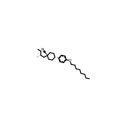 CCCCCCCCOc1ccc([C@H]2CC[C@@](C#N)(C[C@H](C)CC)CC2)cc1